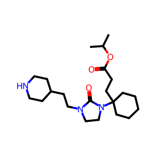 CC(C)OC(=O)CCC1(N2CCN(CCC3CCNCC3)C2=O)CCCCC1